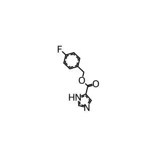 O=C(OCc1ccc(F)cc1)c1cnc[nH]1